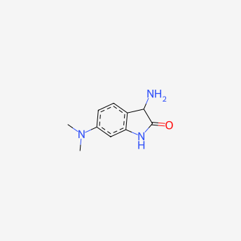 CN(C)c1ccc2c(c1)NC(=O)C2N